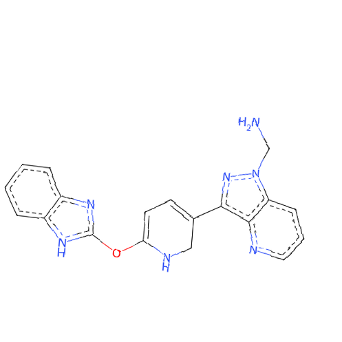 NCn1nc(C2=CC=C(Oc3nc4ccccc4[nH]3)NC2)c2ncccc21